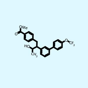 COC(=O)c1ccc(CC(c2cccc(-c3ccc(OC(F)(F)F)cc3)c2)C(C)O)cc1